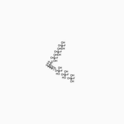 O.O.O.O.O.O.[O]=[Sb]([OH])([OH])[F].[O]=[Sb]([OH])([OH])[F].[O]=[Sb]([OH])([OH])[F].[O]=[Sb]([OH])([OH])[F].[O]=[Sb]([OH])([OH])[F].[O]=[Sb]([OH])([OH])[F]